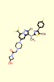 CCc1nn2c(C(F)F)cc(N3CCN(CC(=O)N4CC(O)C4)CC3)cc2c1N(C)c1nc(-c2ccc(F)cc2)c(C#N)s1